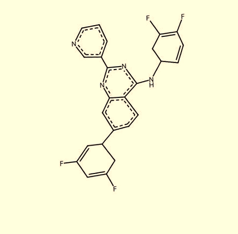 FC1=CC(c2ccc3c(NC4C=CC(F)=C(F)C4)nc(-c4cccnc4)nc3c2)CC(F)=C1